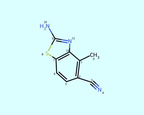 Cc1c(C#N)ccc2sc(N)nc12